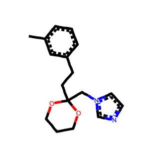 Cc1cccc(CCC2(Cn3ccnc3)OCCCO2)c1